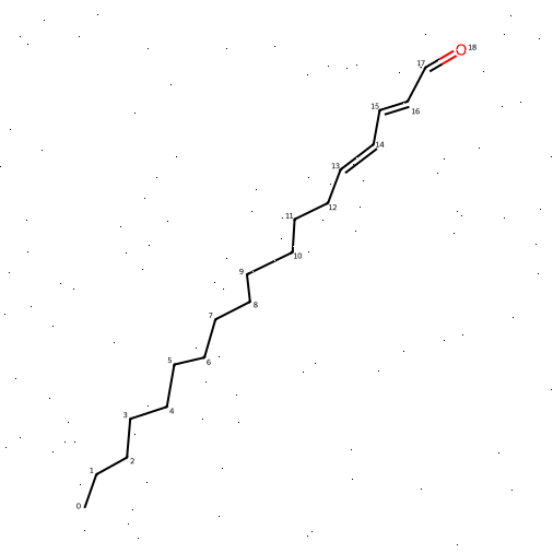 CCCCCCCCCCCCCC=CC=C[C]=O